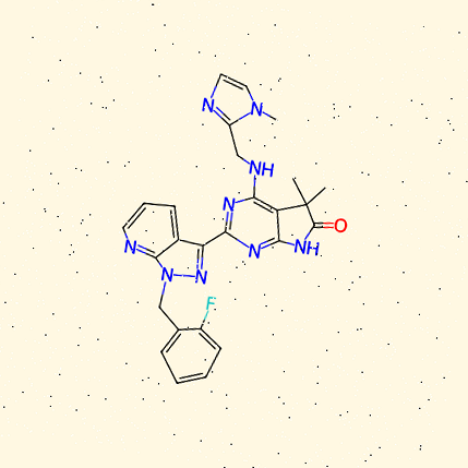 Cn1ccnc1CNc1nc(-c2nn(Cc3ccccc3F)c3ncccc23)nc2c1C(C)(C)C(=O)N2